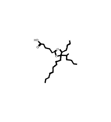 CCCCCCCCCC(OC(=O)CCCCC(=O)O)(C(C)CCCC)C(C)CCCC